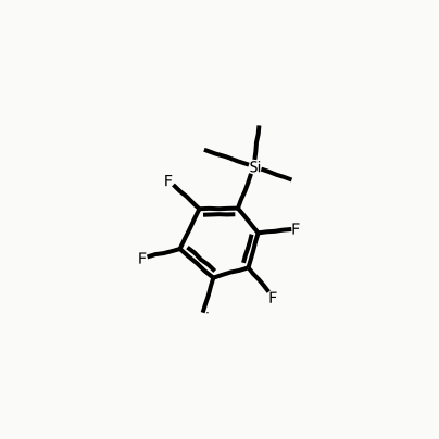 [CH2]c1c(F)c(F)c([Si](C)(C)C)c(F)c1F